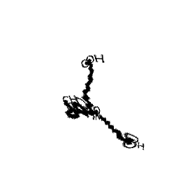 CCn1c2ccccc2c2cc(/C=C(\C(=O)CCCCCCCCCCCC(=O)O)C(=O)NCCCCCCCCCCC(=O)O)ccc21